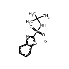 CC(C)(C)NS(=O)(=O)c1nc2ccccc2s1.[S]